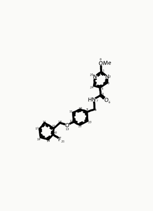 COc1ncc(C(=O)NCc2ccc(OCc3ccccc3F)cc2)cn1